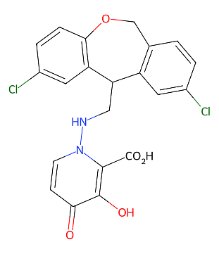 O=C(O)c1c(O)c(=O)ccn1NCC1c2cc(Cl)ccc2COc2ccc(Cl)cc21